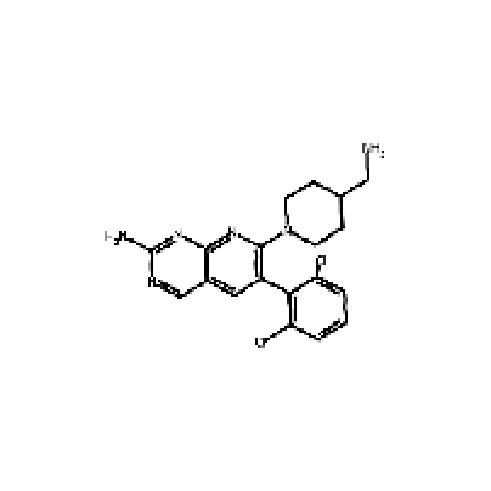 NCC1CCN(c2nc3nc(N)ncc3cc2-c2c(Cl)cccc2Cl)CC1